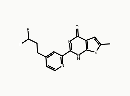 Cc1cc2c(=O)nc(-c3cc(CCC(F)F)ccn3)[nH]c2s1